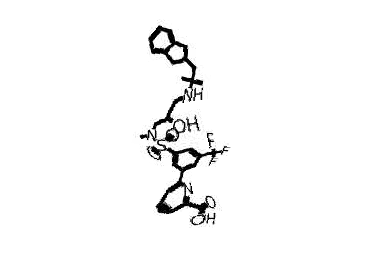 CN(CC(O)CNC(C)(C)CC1Cc2ccccc2C1)S(=O)(=O)c1cc(-c2cccc(C(=O)O)n2)cc(C(F)(F)F)c1